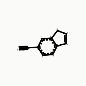 C#Cc1ccc2c(c1)CC=C2